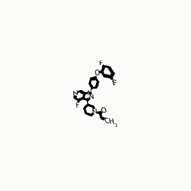 C=CC(=O)N1CCC[C@@H](c2nn(-c3ccc(Oc4cc(F)ccc4F)cc3)c3cncc(F)c23)C1